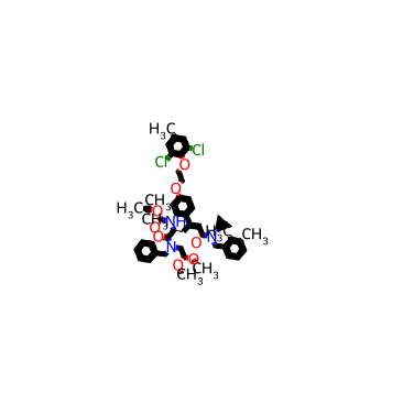 COC(CN(Cc1ccccc1)C(=O)[C@@H](C/C(=C\C(=O)N(Cc1cccc(C)c1C)C1CC1)c1ccc(OCCOc2c(Cl)cc(C)cc2Cl)cc1)NC(=O)OC(C)(C)C)OC